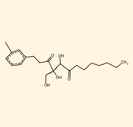 CCCCCCCC(=O)C(O)C(O)(CO)C(=O)CCc1cccc(I)c1